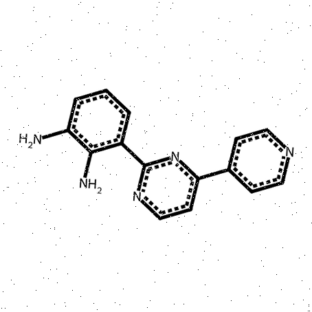 Nc1cccc(-c2nccc(-c3ccncc3)n2)c1N